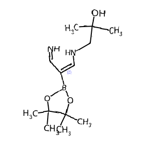 CC(C)(O)CN/C=C(\C=N)B1OC(C)(C)C(C)(C)O1